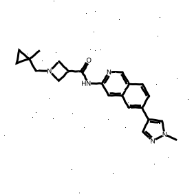 Cn1cc(-c2ccc3cnc(NC(=O)C4CN(CC5(C)CC5)C4)cc3c2)cn1